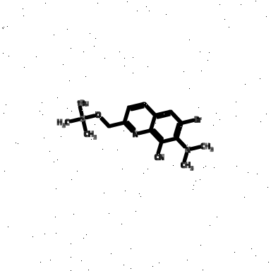 CN(C)c1c(Br)cc2ccc(CO[Si](C)(C)C(C)(C)C)nc2c1C#N